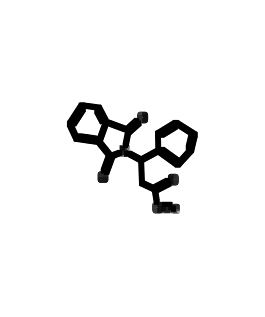 COC(=O)CC(c1ccccc1)N1C(=O)c2ccccc2C1=O